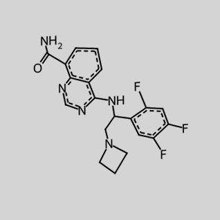 NC(=O)c1cccc2c(NC(CN3CCC3)c3cc(F)c(F)cc3F)ncnc12